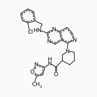 Cc1cc(NC(=O)C2CCCN(c3nccc4nc(NCc5ccccc5Cl)ncc34)C2)no1